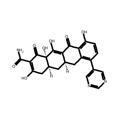 NC(=O)C1=C(O)C[C@@H]2C[C@@H]3Cc4c(-c5cncnc5)ccc(O)c4C(=O)C3=C(O)[C@]2(O)C1=O